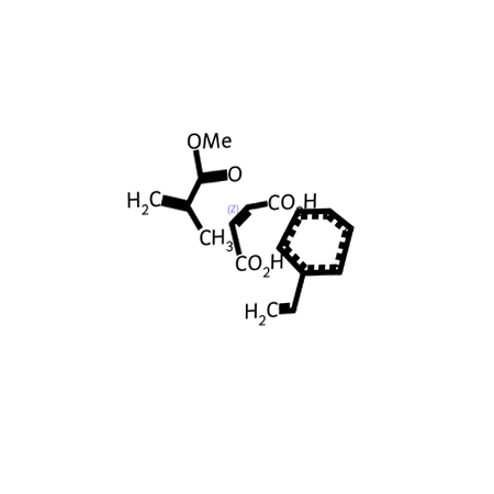 C=C(C)C(=O)OC.C=Cc1ccccc1.O=C(O)/C=C\C(=O)O